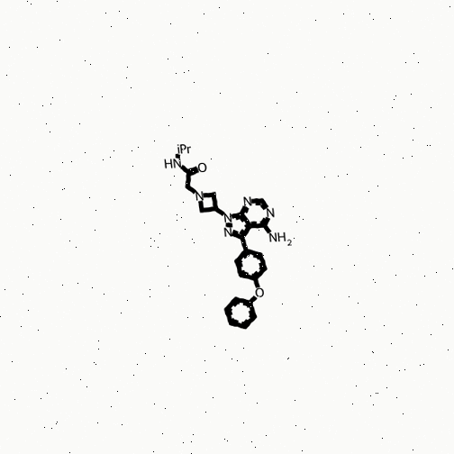 CC(C)NC(=O)CN1CC(n2nc(-c3ccc(Oc4ccccc4)cc3)c3c(N)ncnc32)C1